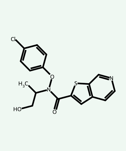 CC(CO)N(Oc1ccc(Cl)cc1)C(=O)c1cc2ccncc2s1